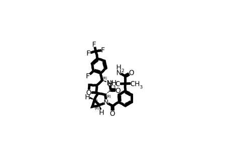 CC(C)(C(N)=O)c1cccc(C(=O)N2[C@@H](C(=O)N[C@@H](c3ccc(C(F)(F)F)cc3F)C3COC3)C[C@H]3C[C@H]32)c1